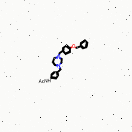 CC(=O)Nc1ccc(CN2CCCN(Cc3ccc(OCc4ccccc4)cc3)CC2)cc1